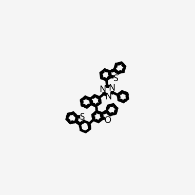 C1=C(c2cc(-c3cc(-c4nc(-c5ccccc5)nc(-c5cccc6c5sc5ccccc56)n4)cc4ccccc34)c3c(c2)oc2ccccc23)c2sc3ccccc3c2CC1